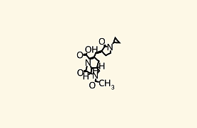 CC(=O)N1C[C@H]2CC(/C=C3\CCN(C4CC4)C3=O)=C(C(=O)O)N3C(=O)[C@@H]1[C@@H]23